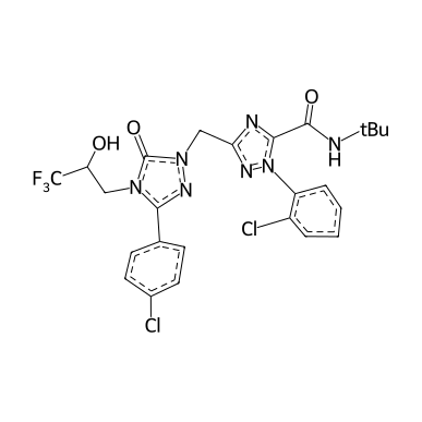 CC(C)(C)NC(=O)c1nc(Cn2nc(-c3ccc(Cl)cc3)n(CC(O)C(F)(F)F)c2=O)nn1-c1ccccc1Cl